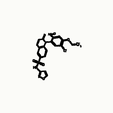 COc1cc(OCC(F)(F)F)c(Cl)cc1-n1c(=O)ccc2cc(S(=O)(=O)Nc3ccon3)ccc21